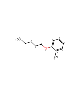 CCCCCCCCCCCCOc1ccccc1C#N